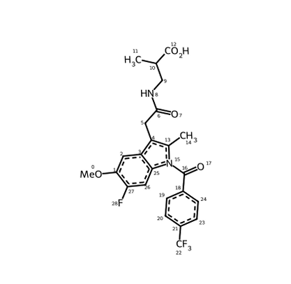 COc1cc2c(CC(=O)NCC(C)C(=O)O)c(C)n(C(=O)c3ccc(C(F)(F)F)cc3)c2cc1F